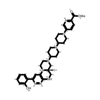 COC(=O)c1ccc(N2CCC(N3CCC(N4CCN5c6cc(-c7ccccc7O)nnc6NC[C@H]5C4)CC3)CC2)cn1